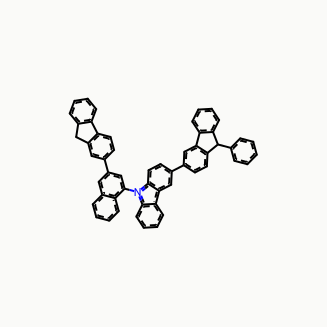 c1ccc(C2c3ccccc3-c3cc(-c4ccc5c(c4)c4ccccc4n5-c4cc(-c5ccc6c(c5)Cc5ccccc5-6)cc5ccccc45)ccc32)cc1